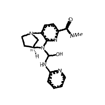 CNC(=O)c1ccc2c(n1)N(C(O)Nc1ccccn1)[C@H]1CCN2C1